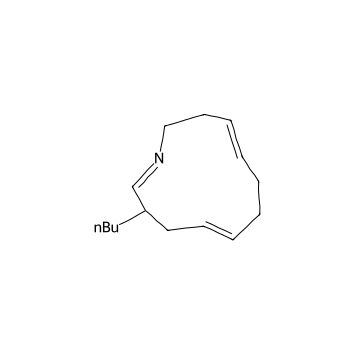 CCCCC1/C=N/CC/C=C/CC/C=C/C1